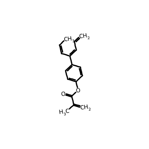 C=C/C=C(\C=C/C)c1ccc(OC(=O)C(=C)C)cc1